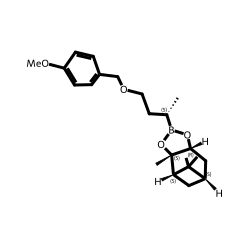 COc1ccc(COCC[C@H](C)B2O[C@@H]3C[C@@H]4C[C@@H](C4(C)C)[C@]3(C)O2)cc1